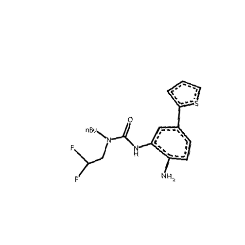 CCCCN(CC(F)F)C(=O)Nc1cc(-c2cccs2)ccc1N